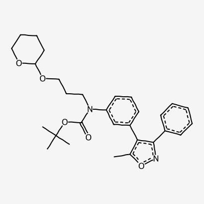 Cc1onc(-c2ccccc2)c1-c1cccc(N(CCCOC2CCCCO2)C(=O)OC(C)(C)C)c1